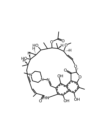 CO[C@H]1/C=C/O[C@@]2(C)Oc3c(C)c(O)c4c(O)c(c(/C=N/N5CCN(C)CC5)c(O)c4c3C2=O)NC(=O)/C(C)=C\C=C/C[C@H](C)[C@H](O)[C@@H](C)C(O)C(C)C(OC(C)=O)[C@@H]1C